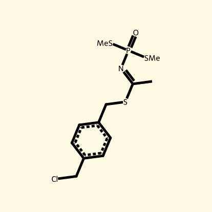 CSP(=O)(N=C(C)SCc1ccc(CCl)cc1)SC